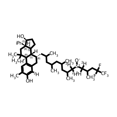 [2H]c1c(O)c(C)cc2c1C[C@@H](CC(C)CC(C)CC(C)CC(C)C([2H])([2H])[S+]([O-])C([2H])([2H])C(C)CC(F)(F)C(F)(F)F)[C@@H]1[C@@H]2C(C)(C)C[C@]2(C(C)C)[C@@H](O)CC[C@@H]12